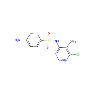 COc1c(Cl)ncnc1NS(=O)(=O)c1ccc(N)cc1